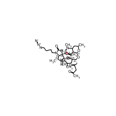 CC[C@@H](O)[C@@]1(C)OC(=O)N(CCCCN=[N+]=[N-])[C@@H]1[C@@H](C)NC[C@H](C)C[C@@](C)(OC)[C@@H](CC(=O)CC(C)=O)O[C@@H]1OC(C)CC(N(C)C)C1P=O